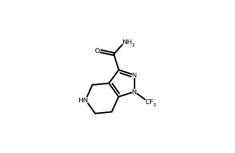 NC(=O)c1nn(C(F)(F)F)c2c1CNCC2